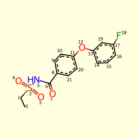 CCS(=O)(=O)NC(=O)c1ccc(Oc2cccc(F)c2)cc1